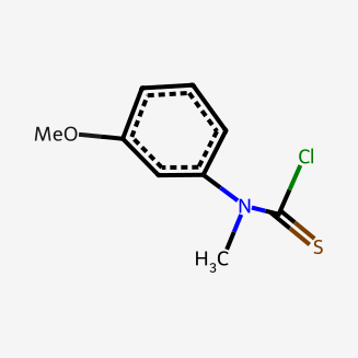 COc1cccc(N(C)C(=S)Cl)c1